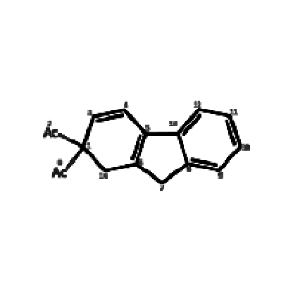 CC(=O)C1(C(C)=O)C=CC2=C(Cc3ccccc32)C1